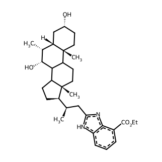 CCOC(=O)c1cccc2[nH]c(C[C@@H](C)[C@H]3CCC4C5C(CC[C@@]43C)[C@@]3(C)CC[C@@H](O)C[C@H]3[C@@H](C)[C@H]5O)nc12